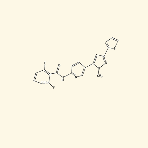 Cn1nc(-c2cccs2)cc1-c1ccc(NC(=O)c2c(F)cccc2F)nc1